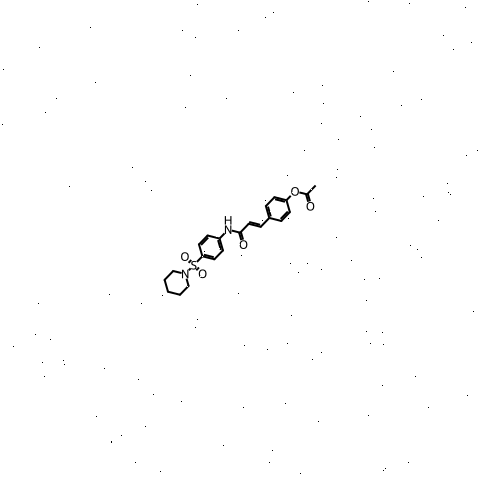 CC(=O)Oc1ccc(C=CC(=O)Nc2ccc(S(=O)(=O)N3CCCCC3)cc2)cc1